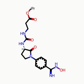 CC(C)OC(=O)CCNC(=O)N[C@H]1CCN(c2ccc(C(=N)NO)cc2)C1=O